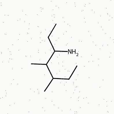 CCC(C)C(C)C(N)CC